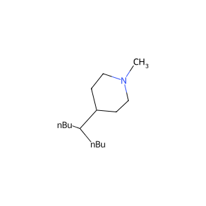 CCCCC(CCCC)C1CCN(C)CC1